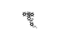 Cc1ccc(CN(C=O)C2CCC(CN([C@H](C)c3ccccc3)S(=O)(=O)c3ccccc3)CC2)cc1